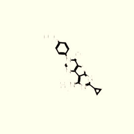 Cc1ccc(-n2cnc3c(sc4nc(C5CC5)nc(N)c43)c2=O)cc1